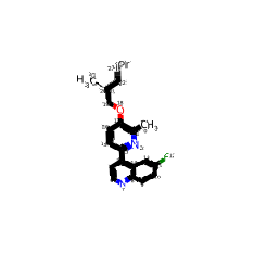 Cc1nc(-c2ccnc3ccc(F)cc23)ccc1OC[C@H](C)CC(C)C